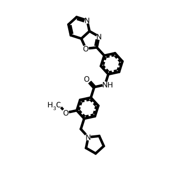 COc1cc(C(=O)Nc2cccc(C3=NC4N=CC=CC4O3)c2)ccc1CN1CCCC1